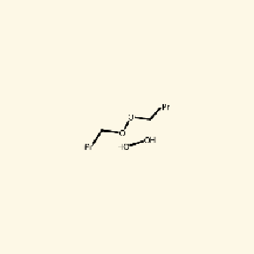 CC(C)COOCC(C)C.OO